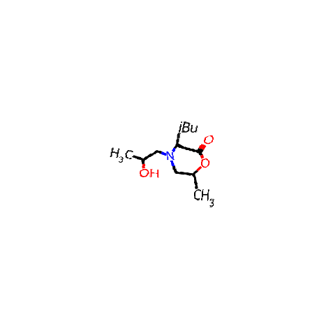 CCC(C)C1C(=O)OC(C)CN1CC(C)O